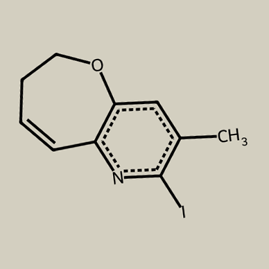 Cc1cc2c(nc1I)C=CCCO2